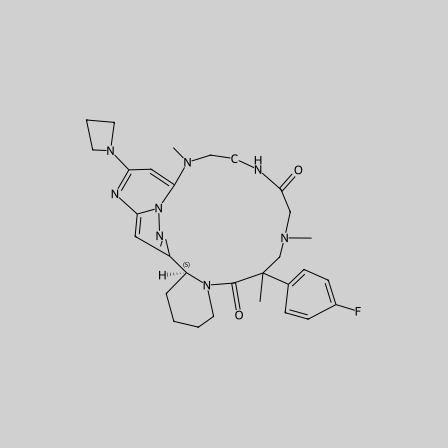 CN1CC(=O)NCCN(C)c2cc(N3CCC3)nc3cc(nn23)[C@@H]2CCCCN2C(=O)C(C)(c2ccc(F)cc2)C1